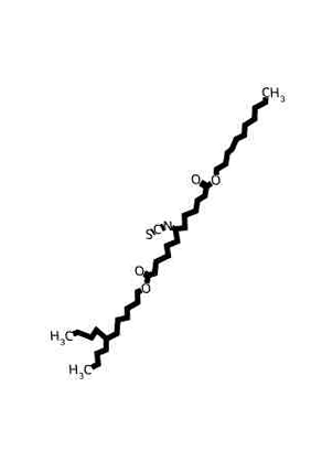 CCCCCCCCCCCOC(=O)CCCCCC(CCCCCC(=O)OCCCCCCC(CCCC)CCCC)N=C=S